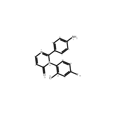 Nc1ccc(-c2nccc(=O)n2-c2ccc(F)cc2Cl)cc1